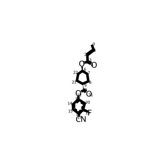 CC=CC(=O)O[C@H]1CC[C@H](C(=O)Oc2ccc(C#N)c(F)c2)CC1